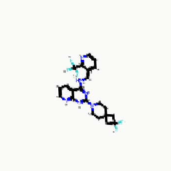 FC1(F)CC2(CCN(c3nc(NCc4cccnc4C(F)(F)F)c4cccnc4n3)CC2)C1